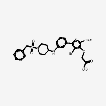 CC(C)COC(=O)COc1c(C(=O)O)sc(-c2cccc(NC3CCN(S(=O)(=O)Cc4ccccc4)CC3)c2)c1Br